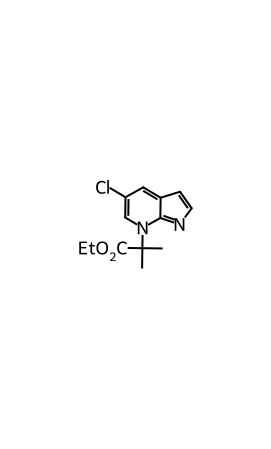 CCOC(=O)C(C)(C)n1cc(Cl)cc2ccnc1-2